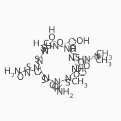 Cc1sc2nc1C(=O)N[C@@H]([C@H](OC(=O)NCCN(C)C)c1ccccc1)c1nc(cs1)C(=O)N[C@@H](Cc1ccc(O)cc1)C(=O)N1C[C@H](O)[C@H](C)[C@H]1c1nc(cs1)-c1nc(cs1)-c1nc(-c3nc(C(N)=O)cs3)ccc1-c1nc(cs1)C(=O)N[C@H]2CC(N)=O